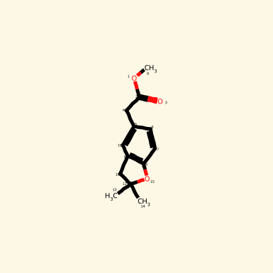 COC(=O)Cc1ccc2c(c1)CC(C)(C)O2